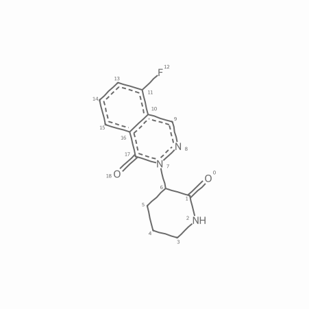 O=C1NCCCC1n1ncc2c(F)cccc2c1=O